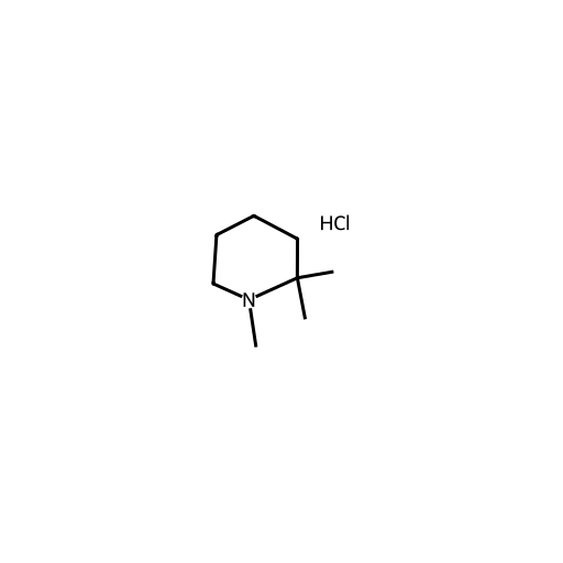 CN1CCCCC1(C)C.Cl